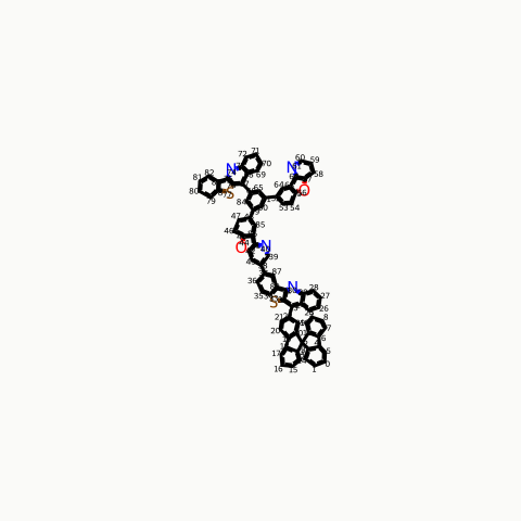 c1ccc2c(c1)-c1ccccc1C21c2ccccc2-c2ccc(-c3c4ccccc4nc4c3sc3ccc(-c5cnc6c(c5)oc5ccc(-c7cc(-c8ccc9oc%10cccnc%10c9c8)cc(-c8c9ccccc9nc9c8sc8ccccc89)c7)cc56)cc34)cc21